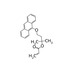 C=CC(=O)OC(C)(C)CCOc1c2ccccc2cc2ccccc12